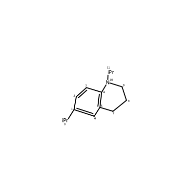 CC(C)c1ccc2c(c1)CCCN2C(C)C